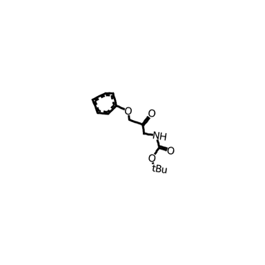 CC(C)(C)OC(=O)NCC(=O)COc1ccccc1